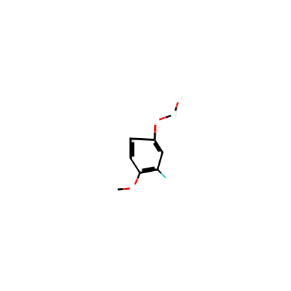 COc1ccc(OBO)cc1F